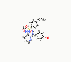 CCO.COc1ccc(S(=O)(=O)Nc2cccnc2Nc2ccc(O)cc2)cc1